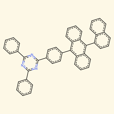 c1ccc(-c2nc(-c3ccccc3)nc(-c3ccc(-c4c5ccccc5c(-c5cccc6ccccc56)c5ccccc45)cc3)n2)cc1